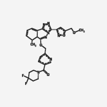 COCc1cc(-c2nnc3n2N=C(OCc2ccc(C(=O)N4CCC(F)(F)CC4)cn2)C2C3=CC=CC2C)no1